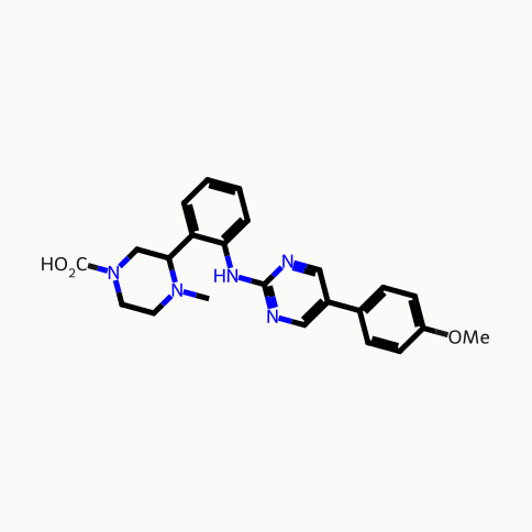 COc1ccc(-c2cnc(Nc3ccccc3C3CN(C(=O)O)CCN3C)nc2)cc1